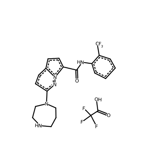 O=C(Nc1ccccc1C(F)(F)F)c1ccc2ccc(N3CCCNCC3)nn12.O=C(O)C(F)(F)F